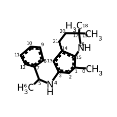 Cc1cc(NC(C)c2ccccc2)cc2c1NC(C)(C)CC2